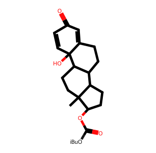 CC(C)COC(=O)OC1CCC2C3CCC4=CC(=O)C=CC4(O)C3CCC12C